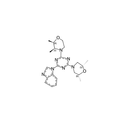 C[C@@H]1CN(c2nc(N3CCO[C@H](C)[C@@H]3C)nc(-n3cnc4ccccc43)n2)C[C@H](C)O1